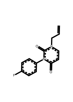 C=CCn1ccc(=O)n(-c2ccc(F)cc2)c1=O